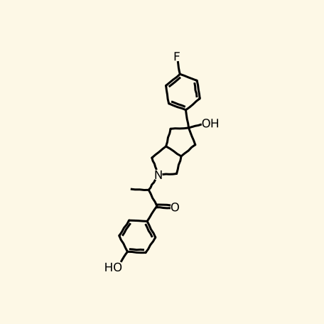 CC(C(=O)c1ccc(O)cc1)N1CC2CC(O)(c3ccc(F)cc3)CC2C1